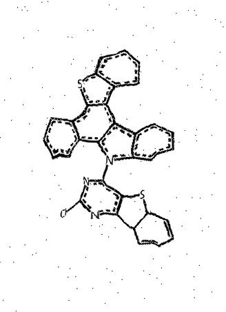 Clc1nc2c(c(-n3c4ccccc4c4c5c6ccccc6sc5c5ccccc5c43)n1)SC1C=CC=CC21